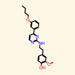 CCCCOc1cccc(-c2ccnc(NCCc3ccc(O)c(OC)c3)n2)c1